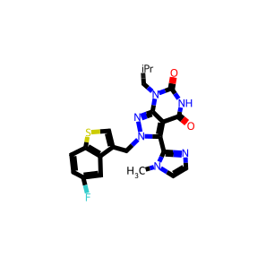 CC(C)Cn1c(=O)[nH]c(=O)c2c(-c3nccn3C)n(Cc3csc4ccc(F)cc34)nc21